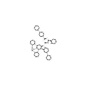 c1ccc(-c2ccc(-c3nc(-n4c5ccc(-c6ccccc6)cc5c5c6c7c(cc54)-c4ccccc4C4C7[C@H]4c4ccccc4-6)c4oc5ccccc5c4n3)cc2)cc1